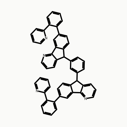 c1ccc(-c2ccccc2-c2ccc3c(c2)-c2ncccc2C3c2cccc(C3c4ccc(-c5ccccc5-c5ccccn5)cc4-c4ncccc43)c2)nc1